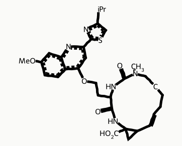 COc1ccc2c(OCCC3NC(=O)N(C)CCCC/C=C/C4CC4(C(=O)O)NC3=O)cc(-c3nc(C(C)C)cs3)nc2c1